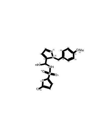 CCCC(NS(=O)(=O)c1ccc(Cl)s1)c1ccnn1Cc1ccc(OC)cc1